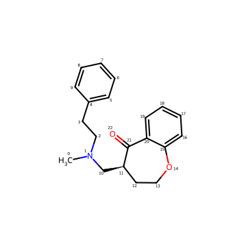 CN(CCc1ccccc1)C[C@@H]1CCOc2ccccc2C1=O